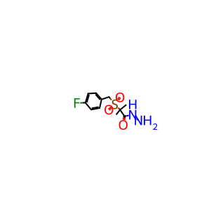 CC(C)(C(=O)NN)S(=O)(=O)Cc1ccc(F)cc1